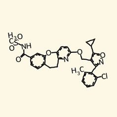 Cc1cccc(Cl)c1-c1noc(C2CC2)c1COc1ccc2c(n1)CCc1ccc(C(=O)NS(C)(=O)=O)cc1O2